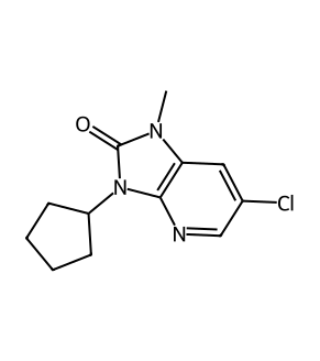 Cn1c(=O)n(C2CCCC2)c2ncc(Cl)cc21